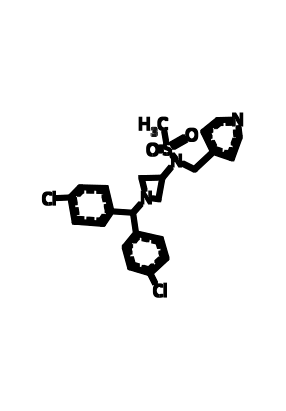 CS(=O)(=O)N(Cc1ccncc1)C1CN(C(c2ccc(Cl)cc2)c2ccc(Cl)cc2)C1